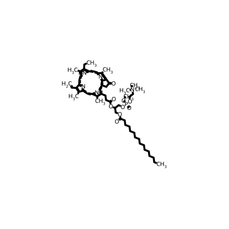 C=CC1=C(C)c2cc3[nH]c(c4c5nc(cc6[nH]c(cc1n2)c(C)c6CC)C(C)=C5C(=O)C4)C(CCC(=O)OC(COC(=O)CCCCCCCCCCCCCCC)COP(=O)(OC)OCC[N+](C)(C)C)C3C